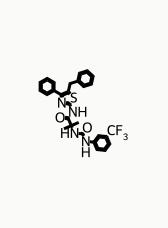 CC(C)(NC(=O)Nc1cccc(C(F)(F)F)c1)C(=O)Nc1nc(-c2ccccc2)c(Cc2ccccc2)s1